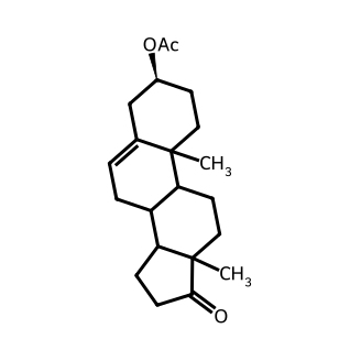 CC(=O)O[C@H]1CCC2(C)C(=CCC3C4CCC(=O)C4(C)CCC32)C1